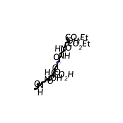 C=CC(=O)NCCNC(=O)CC(O)(CC(=O)OC/C=C/C(=O)NCCNC(=O)CC(O)(CC(=O)OCC)C(=O)OCC)C(=O)O